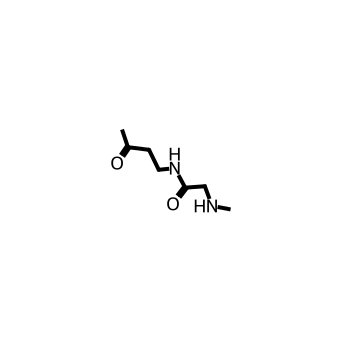 CNCC(=O)NCCC(C)=O